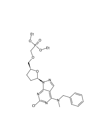 CCOP(=O)(COC[C@@H]1CC[C@H](n2ncc3c(N(C)Cc4ccccc4)nc(Cl)nc32)O1)OCC